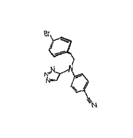 N#Cc1ccc(N(Cc2ccc(Br)cc2)C2C=NN=N2)cc1